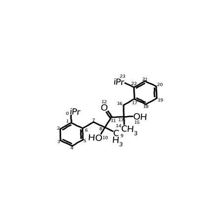 CC(C)c1ccccc1CC(C)(O)C(=O)C(C)(O)Cc1ccccc1C(C)C